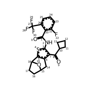 O=C(Nc1sc2c(c1C(=O)C1CCC1)CC1CCC2O1)c1c(F)cccc1C(F)(F)F